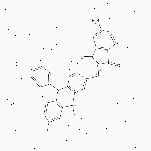 Bc1ccc2c(c1)C(=O)/C(=C\c1ccc3c(c1)C(C)(C)c1cc(C)ccc1N3c1ccccc1)C2=O